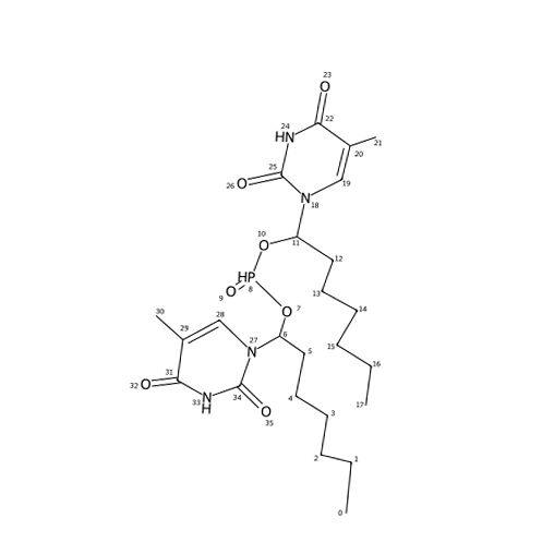 CCCCCCC(O[PH](=O)OC(CCCCCC)n1cc(C)c(=O)[nH]c1=O)n1cc(C)c(=O)[nH]c1=O